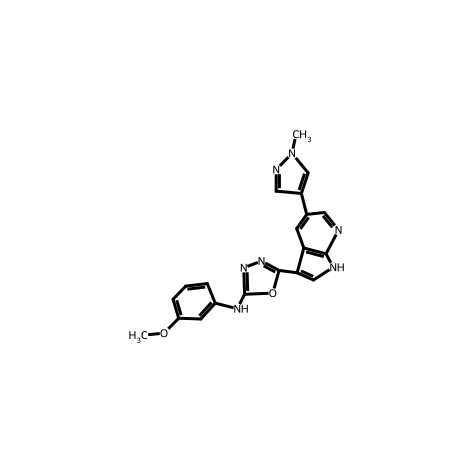 COc1cccc(Nc2nnc(-c3c[nH]c4ncc(-c5cnn(C)c5)cc34)o2)c1